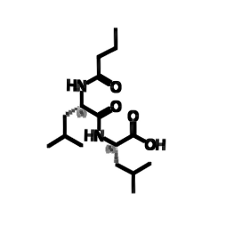 CCCC(=O)N[C@@H](CC(C)C)C(=O)N[C@@H](CC(C)C)C(=O)O